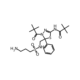 CC(C)(C)C(=O)NC1=NN(C(=O)C(C)(C)C)C(CNS(=O)(=O)CCCN)(c2ccccc2)S1